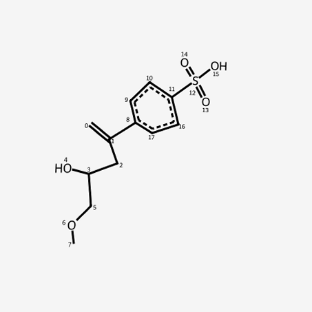 C=C(CC(O)COC)c1ccc(S(=O)(=O)O)cc1